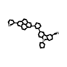 N#Cc1ccc2c(c1)c1cc(-c3cccc(-c4cc5ccc6cc(-c7cccnc7)cc7ccc(c4)c5c67)c3)ccc1n2-c1ccccc1